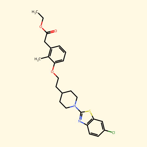 CCOC(=O)Cc1cccc(OCCC2CCN(c3nc4ccc(Cl)cc4s3)CC2)c1C